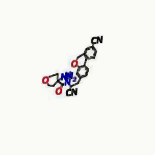 N#Cc1ccc2c(c1)COc1cc(CC(C#N)NC(=O)C3(N)CCOCC3)ccc1-2